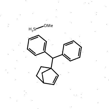 C1=CC2(C(c3ccccc3)c3ccccc3)CCC1C2.CO[SiH3]